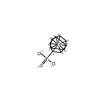 O=P(Cl)(Cl)[C]12[CH]3[CH]4[CH]5[CH]1[Fe]45321678[CH]2[CH]1[CH]6[CH]7[CH]28